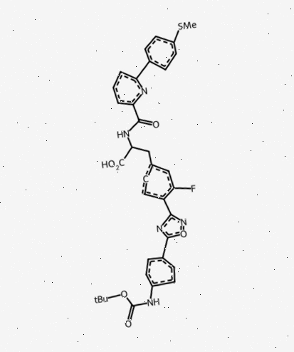 CSc1ccc(-c2cccc(C(=O)NC(Cc3ccc(-c4noc(-c5ccc(NC(=O)OC(C)(C)C)cc5)n4)c(F)c3)C(=O)O)n2)cc1